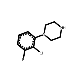 Fc1cccc(N2CCNCC2)c1Cl